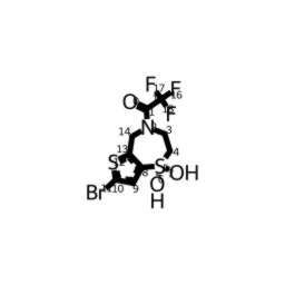 O=C(N1CCS(O)(O)c2cc(Br)sc2C1)C(F)(F)F